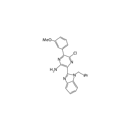 COc1cccc(-c2nc(N)c(-c3nc4ccccc4n3CC(C)C)nc2Cl)c1